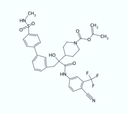 C=C(C)OC(=O)N1CCC(C(O)(Cc2cccc(-c3ccc(S(=O)(=O)NC)cc3)c2)C(=O)Nc2ccc(C#N)c(C(F)(F)F)c2)CC1